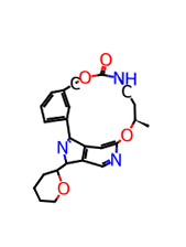 C[C@@H]1CCNC(=O)OCc2cccc(c2)C2=NC(C3CCCCO3)c3cnc(cc32)O1